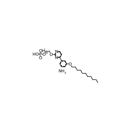 CCCCCCCCCCCOc1cccc(-c2ccnc(OC[C@@H](C)OP(=O)(O)O)n2)c1.N